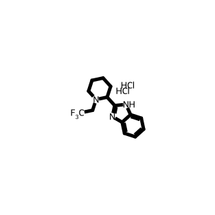 Cl.Cl.FC(F)(F)CN1CCCCC1c1nc2ccccc2[nH]1